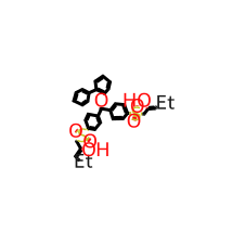 CCC=C(O)CS(=O)(=O)c1ccc(C(=O)c2ccc(S(=O)(=O)CC(O)=CCC)cc2)cc1.c1ccc(-c2ccccc2)cc1